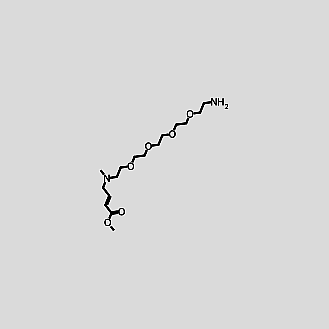 COC(=O)/C=C/CN(C)CCOCCOCCOCCOCCN